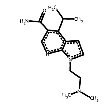 CC(C)c1c(C(N)=O)cnc2c1ccn2CCN(C)C